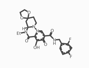 CCN1C(=O)c2c(O)c(=O)c(C(=O)NCc3ccc(F)cc3F)cn2N2CCC3(C[C@@H]12)OCCO3